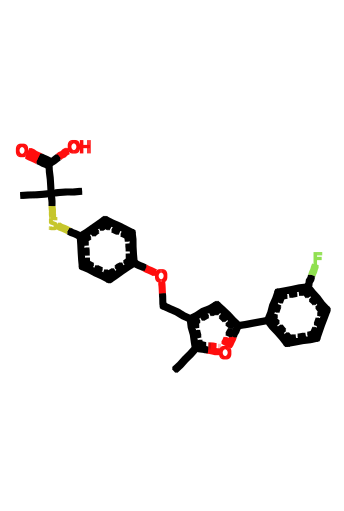 Cc1oc(-c2cccc(F)c2)cc1COc1ccc(SC(C)(C)C(=O)O)cc1